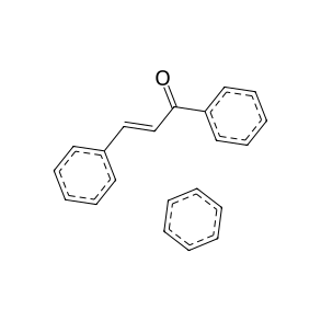 O=C(C=Cc1ccccc1)c1ccccc1.c1ccccc1